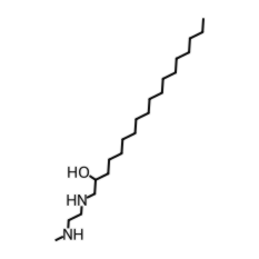 CCCCCCCCCCCCCCCCC(O)CNCCNC